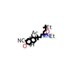 CCNC(=O)[C@@](C)(CCC(C)(C)CC)CCC(C)(C)[C@]1(C)CC[C@H]2[C@H](C)C(=O)C(C#N)=C[C@]2(C)[C@H]1CC(C)=O